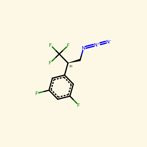 [N-]=[N+]=NC[C@@H](c1cc(F)cc(F)c1)C(F)(F)F